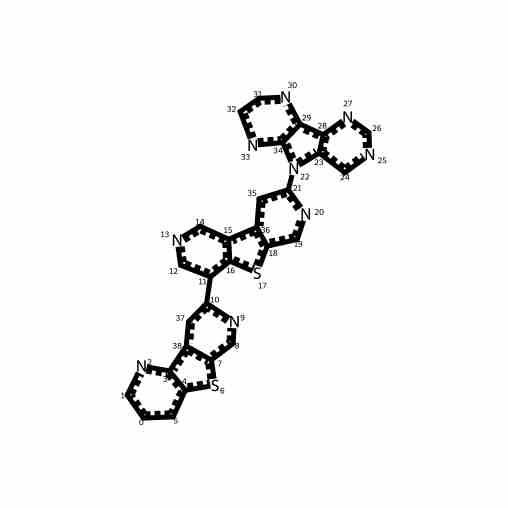 c1cnc2c(c1)sc1cnc(-c3cncc4c3sc3cnc(-n5c6cncnc6c6nccnc65)cc34)cc12